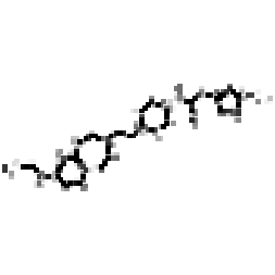 Cn1cc(CC(=O)N[C@H]2CC[C@H](CCN3CCc4ccc(OCC(F)(F)F)nc4CC3)OC2)cn1